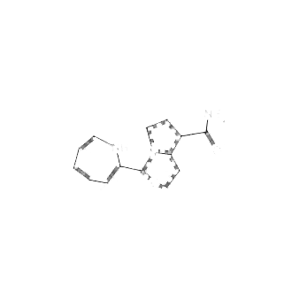 NC(=O)c1ccn2c(C3=CC=CC=CN3)cccc12